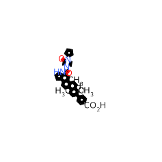 CC1C(c2ccc(C(=O)O)cc2)=CCC2(C)C1CCC1(C)C2CCC2C3CCCC3(NC(=O)N3CCN(C4CCCC4)C(=O)C3)CC[C@]21C